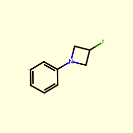 FC1CN(c2c[c]ccc2)C1